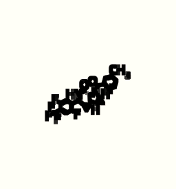 Cc1ccnc(C(=O)N2[C@@H](C(=O)NC(c3cc(F)c(C(F)(F)F)cc3F)C3CC3)C[C@H]3C[C@H]32)c1